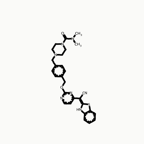 CN(C)C(=O)N1CCN(Cc2ccc(COc3nccc(C(C#N)=C4Nc5ccccc5S4)n3)cc2)CC1